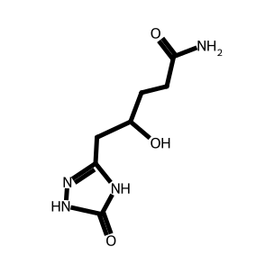 NC(=O)CCC(O)Cc1n[nH]c(=O)[nH]1